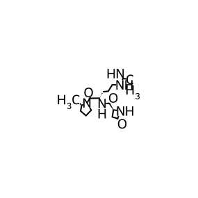 CC(=N)NCCC[C@H](NC(=O)[C@@H]1CC(=O)N1)C(=O)N1CCC[C@H]1C